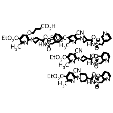 CCOC(=O)c1cc(C#N)c(N2CC(C(=O)NS(=O)(=O)Cc3cccnc3)C2)nc1C.CCOC(=O)c1cc(C#N)c(N2CC(C(=O)NS(=O)(=O)Cc3ncccc3O)C2)nc1C.CCOC(=O)c1cc(C#N)c(N2CCC(C(=O)NS(=O)(=O)Cc3ncccc3O)CC2)nc1C.CCOC(=O)c1cc(OCCCC(=O)O)c(N2CC(C(=O)NS(=O)(=O)Cc3ccccc3)C2)nc1C